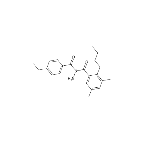 CCCCc1c(C)cc(C)cc1C(=O)N(N)C(=O)c1ccc(CC)cc1